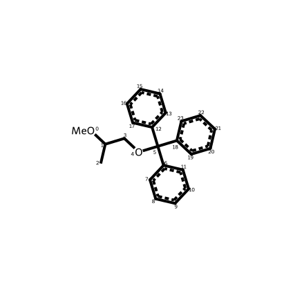 COC(C)COC(c1ccccc1)(c1ccccc1)c1ccccc1